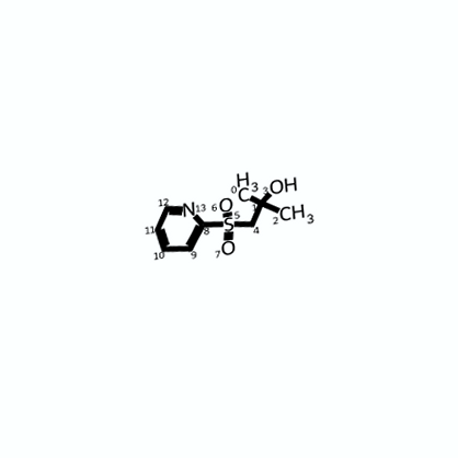 CC(C)(O)CS(=O)(=O)c1ccccn1